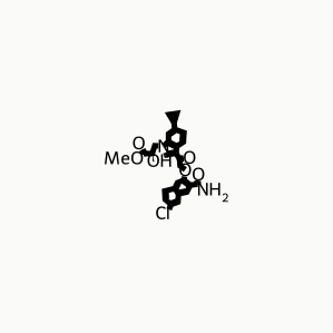 COC(=O)[C@@H](O)Cn1cc(C(=O)COc2cc3ccc(Cl)cc3cc2C(N)=O)c2ccc(C3CC3)cc21